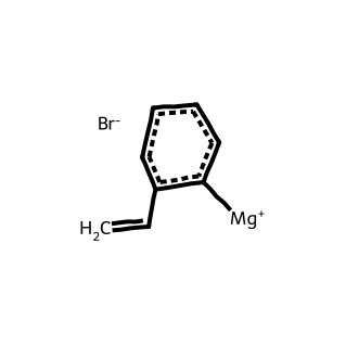 C=Cc1cccc[c]1[Mg+].[Br-]